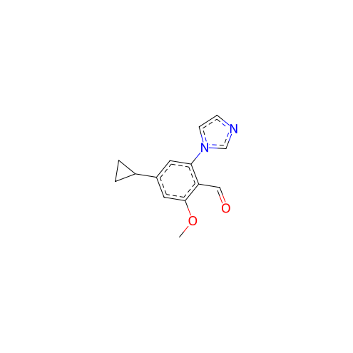 COc1cc(C2CC2)cc(-n2ccnc2)c1C=O